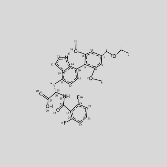 CCOCc1cc(OC)c(-c2ccc(C[C@H](NC(=O)c3c(F)cccc3F)C(=O)O)n3ccnc23)c(OC)c1